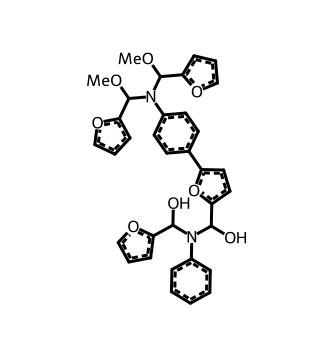 COC(c1ccco1)N(c1ccc(-c2ccc(C(O)N(c3ccccc3)C(O)c3ccco3)o2)cc1)C(OC)c1ccco1